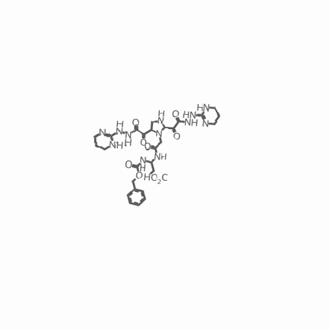 O=C(O)CC(NC(=O)CN1C(C(=O)C(=O)NNC2=NCCCN2)CNC1C(=O)C(=O)NNC1=NCCCN1)NC(=O)OCc1ccccc1